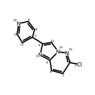 Clc1ccc2nc(-c3ccncc3)cn2n1